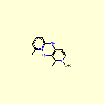 Cc1cccc(NC2=C(N)C(C)N(C=O)C=C2)n1